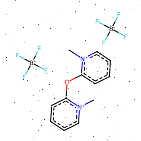 C[n+]1ccccc1Oc1cccc[n+]1C.F[B-](F)(F)F.F[B-](F)(F)F